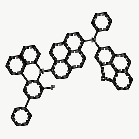 Fc1cc(-c2ccccc2)cc(-c2ccccc2)c1N(c1ccccc1)c1ccc2ccc3c(N(c4ccccc4)c4cc5ccc6cccc7oc(c4)c5c67)ccc4ccc1c2c43